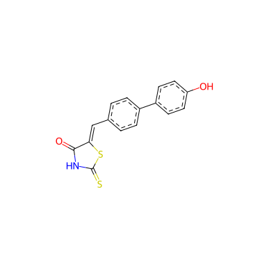 O=C1NC(=S)S/C1=C\c1ccc(-c2ccc(O)cc2)cc1